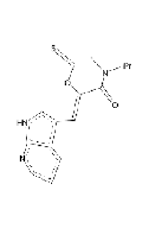 CC(C)N(C)C(=O)/C(=C/c1c[nH]c2ncccc12)OC=S